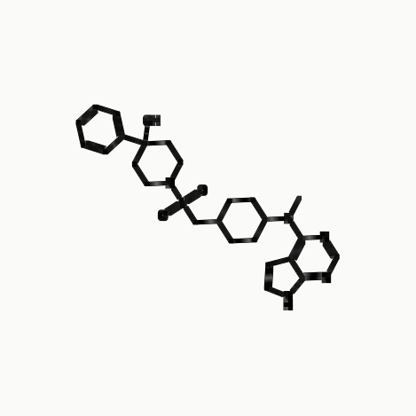 CN(c1ncnc2[nH]ccc12)C1CCC(CS(=O)(=O)N2CCC(O)(c3ccccc3)CC2)CC1